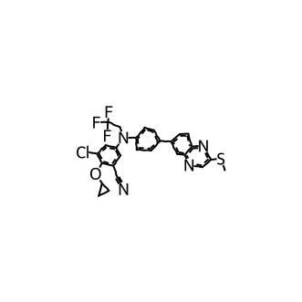 CSc1cnc2cc(-c3ccc(N(CC(F)(F)F)c4cc(Cl)c(OC5CC5)c(C#N)c4)cc3)ccc2n1